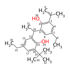 C=C(C)c1cc(CC)cc(C(C)c2cc(CC)cc(C(C)(C)C)c2O)c1O